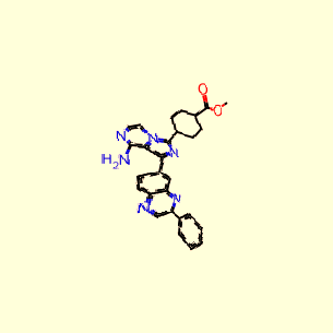 COC(=O)C1CCC(c2nc(-c3ccc4ncc(-c5ccccc5)nc4c3)c3c(N)nccn23)CC1